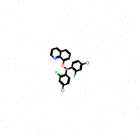 Fc1cc(Cl)ccc1B(Oc1cccc2cccnc12)c1ccc(Cl)cc1F